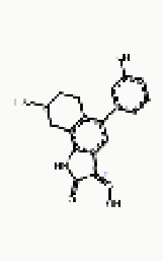 CN1CCc2c(-c3cccc(C#N)c3)cc3c(c2C1)NC(=O)/C3=N\O